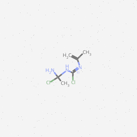 C=C(C)/N=C(/Cl)NC(C)(N)Cl